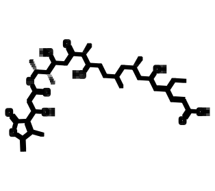 C=C1OC(=O)C(C(O)CC(=O)O[C@H](C)[C@@H](C)C(O)CC(=O)[C@@H](C)C(O)CCC(C)C[C@@H](C)CC(O)/C=C(/C=C/C(=O)O)CC)=C1C